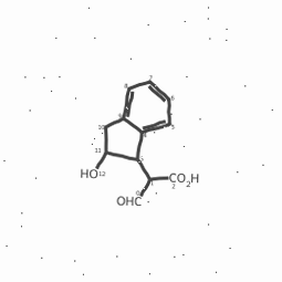 O=CC(C(=O)O)C1c2ccccc2CC1O